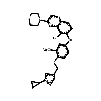 COc1cc(Nc2ccc3ncc(N4CCOCC4)nc3c2C#N)ccc1OCc1cnn(C2CC2)c1